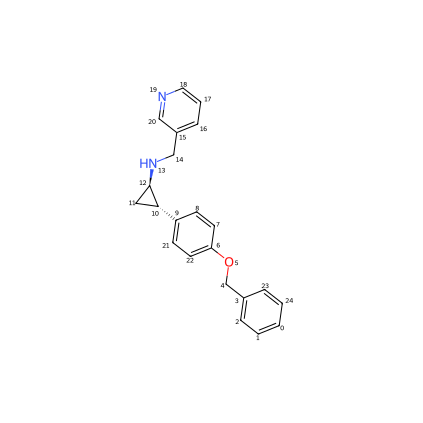 c1ccc(COc2ccc([C@@H]3C[C@H]3NCc3cccnc3)cc2)cc1